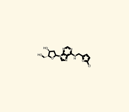 OC[C@H]1OC(n2cnc3c(NCc4ccc(Cl)o4)ncnc32)C[C@@H]1O